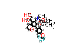 CN(Cc1cc(-c2ccc(OC(F)(F)F)cc2)c2c(c1C(O)CO)CCCO2)C(=O)OC(C)(C)C